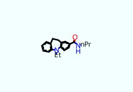 CCCNC(=O)c1ccc2c(c1)CCc1ccccc1N2CC